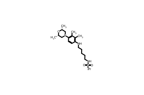 Cc1c(NCCCCCNS(=O)(=O)C(C)C)ccc(N2C[C@@H](C)O[C@@H](C)C2)c1C